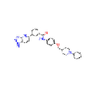 O=C(Nc1ccc(OCC2CCN(c3ccccc3)CC2)cc1)c1cccc(-c2ccc3[nH]nnc3n2)c1